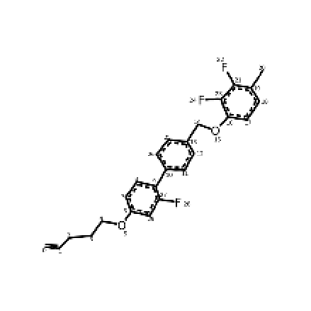 C=CCCCOc1ccc(-c2ccc(COc3ccc(C)c(F)c3F)cc2)c(F)c1